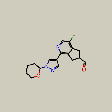 O=CC1Cc2c(F)cnc(-c3cnn(C4CCCCO4)c3)c2C1